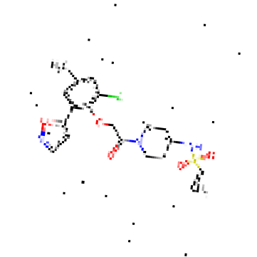 C=CS(=O)(=O)NC1CCN(C(=O)COc2c(Cl)cc(C)cc2-c2ccno2)CC1